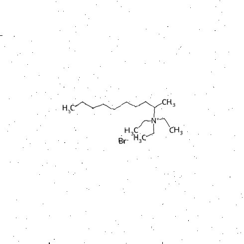 CCCCCCCCC(C)[N+](CC)(CC)CC.[Br-]